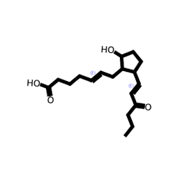 CCCC(=O)/C=C/C1CCC(O)C1C/C=C/CCCC(=O)O